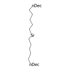 CCCCCCCCCCCCCCC[Si]CCCCCCCCCCCCCCC